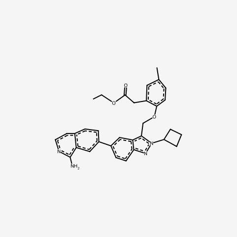 CCOC(=O)Cc1cc(C)ccc1OCc1c2cc(-c3ccc4ccnc(N)c4c3)ccc2nn1C1CCC1